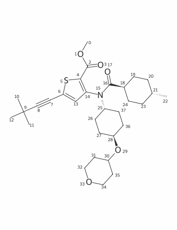 COC(=O)c1sc(C#CC(C)(C)C)cc1N(C(=O)[C@H]1CC[C@H](C)CC1)[C@H]1CC[C@H](OC2CCOCC2)CC1